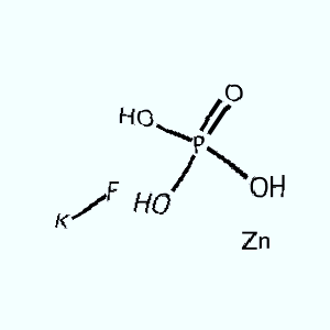 O=P(O)(O)O.[F][K].[Zn]